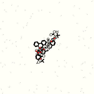 COc1ccc(CN(Cc2ccc(OC)cc2)S(=O)(=O)c2c(S(=O)(=O)NCCN(C(=O)O)C(C)(C)C)ccc(-c3ccccc3NC(=O)CNC(=O)OC(C)(C)C)c2-c2nnn(Cc3ccc(OC)cc3)n2)cc1